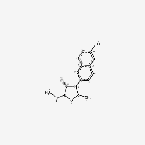 COC1OC(C)N(c2ccc3cc(O)ccc3c2)C1=O